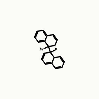 FC1(C2(Br)CC=Cc3ccccc32)C=CC=C2C=CC=CC21